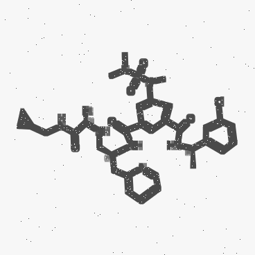 CC[C@H](NC[C@H](Cc1ccccn1)NC(=O)c1cc(C(=O)N[C@H](C)c2cccc(Cl)c2)cc(N(C)S(=O)(=O)N(C)C)c1)C(=O)NCC1CC1